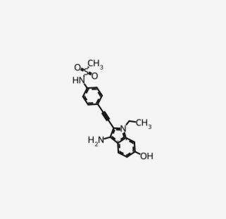 CCn1c(C#Cc2ccc(NS(C)(=O)=O)cc2)c(N)c2ccc(O)cc21